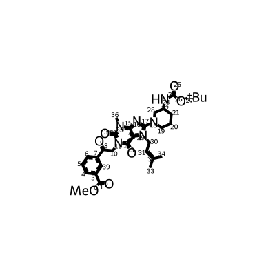 COC(=O)c1cccc(C(=O)Cn2c(=O)c3c(nc(N4CCCC(NC(=O)OC(C)(C)C)C4)n3CC=C(C)C)n(C)c2=O)c1